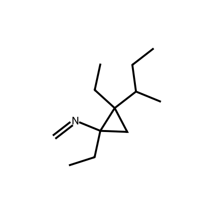 C=NC1(CC)CC1(CC)C(C)CC